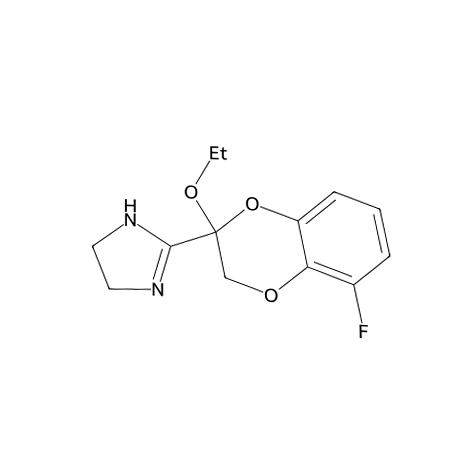 CCOC1(C2=NCCN2)COc2c(F)cccc2O1